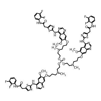 COc1cc2c(Nc3ncc(CC(=O)Nc4cccc(F)c4F)s3)ncnc2cc1OCCCN(C)CCOP(=O)(OCCN(C)CCCOc1cc2ncnc(Nc3ncc(CC(=O)Nc4cccc(F)c4F)s3)c2cc1OC)OCCN(C)CCCOc1cc2ncnc(Nc3ncc(CC(=O)Nc4cccc(F)c4F)s3)c2cc1OC